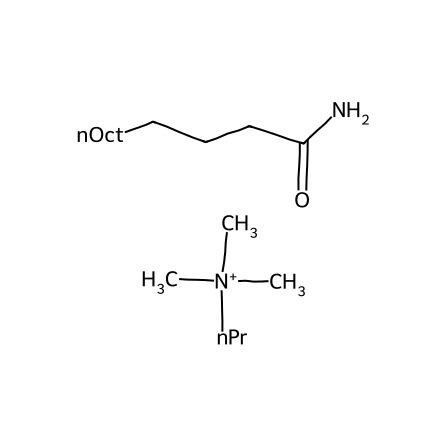 CCCCCCCCCCCC(N)=O.CCC[N+](C)(C)C